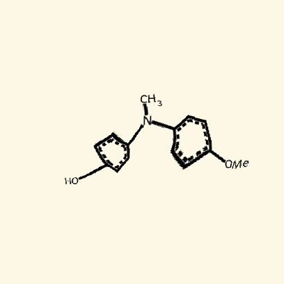 COc1ccc(N(C)c2ccc(O)cc2)cc1